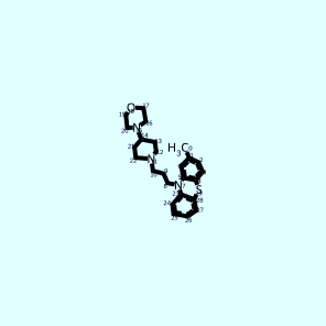 Cc1ccc2c(c1)N(CCCN1CCC(N3CCOCC3)CC1)c1ccccc1S2